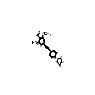 COc1cc(C#Cc2ccc(N3CCCC3)cc2)cc(O)c1C=O